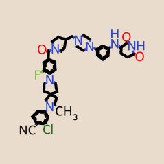 C[C@@H]1CC2(CCN(c3ccc(C(=O)N4CCC(CN5CCN(c6cccc(NC7CCC(=O)NC7=O)c6)CC5)CC4)cc3F)CC2)CN1c1ccc(C#N)c(Cl)c1